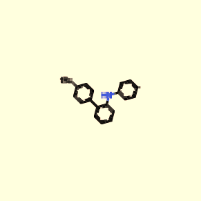 CC(C)(C)c1ccc(-c2ccccc2Nc2cc[c]cc2)cc1